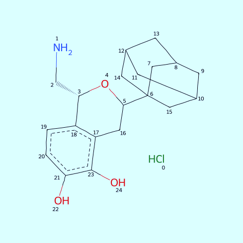 Cl.NC[C@@H]1OC(C23CC4CC(CC(C4)C2)C3)Cc2c1ccc(O)c2O